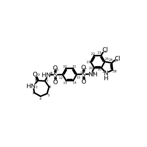 O=C1NCCCCC1NS(=O)(=O)c1ccc(S(=O)(=O)Nc2ccc(Cl)c3c(Cl)c[nH]c23)cc1